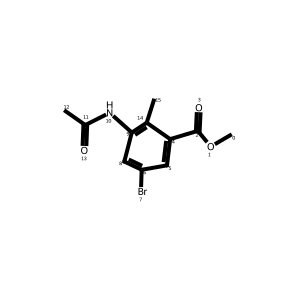 COC(=O)c1cc(Br)cc(NC(C)=O)c1C